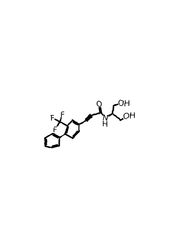 O=C(C#Cc1ccc(-c2ccccc2)c(C(F)(F)F)c1)NC(CO)CO